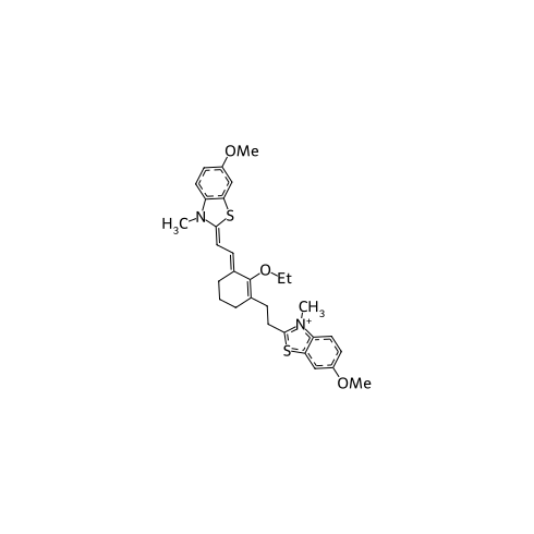 CCOC1=C(CCc2sc3cc(OC)ccc3[n+]2C)CCC/C1=C\C=C1/Sc2cc(OC)ccc2N1C